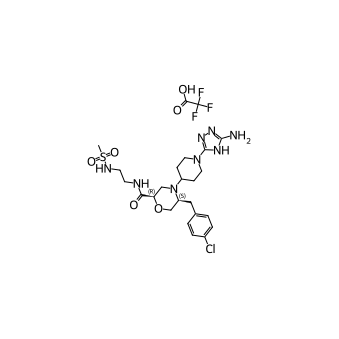 CS(=O)(=O)NCCNC(=O)[C@H]1CN(C2CCN(c3nnc(N)[nH]3)CC2)[C@@H](Cc2ccc(Cl)cc2)CO1.O=C(O)C(F)(F)F